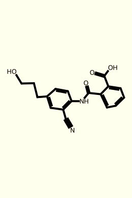 N#Cc1cc(CCCO)ccc1NC(=O)c1ccccc1C(=O)O